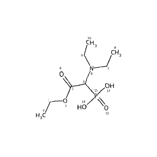 CCOC(=O)C(N(CC)CC)P(=O)(O)O